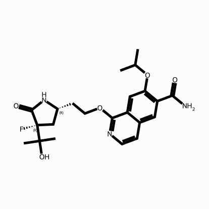 CC(C)Oc1cc2c(OCC[C@@H]3C[C@@](F)(C(C)(C)O)C(=O)N3)nccc2cc1C(N)=O